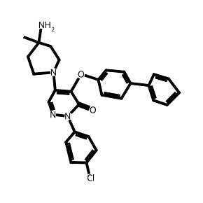 CC1(N)CCN(c2cnn(-c3ccc(Cl)cc3)c(=O)c2Oc2ccc(-c3ccccc3)cc2)CC1